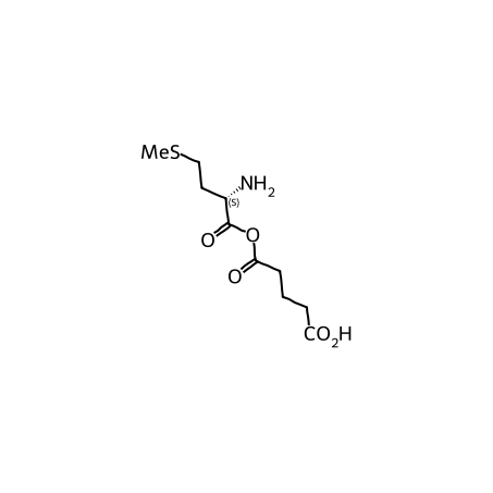 CSCC[C@H](N)C(=O)OC(=O)CCCC(=O)O